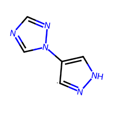 [c]1n[nH]cc1-n1cncn1